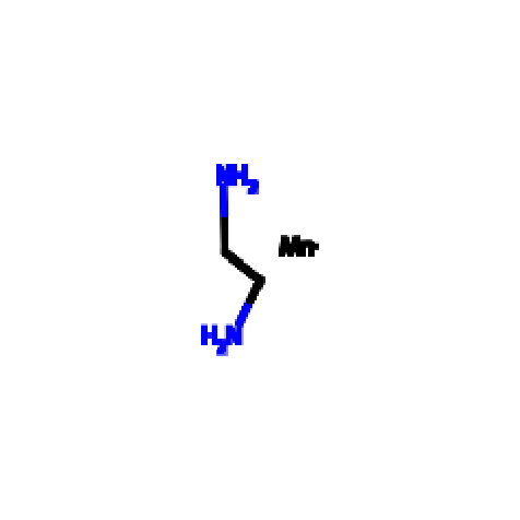 NCCN.[Mn]